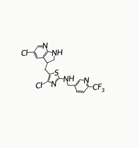 FC(F)(F)c1ccc(CNc2nc(Cl)c(CC3CNc4ncc(Cl)cc43)s2)cn1